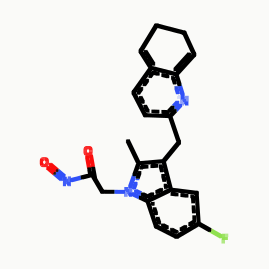 Cc1c(Cc2ccc3c(n2)=CCCC=3)c2cc(F)ccc2n1CC(=O)N=O